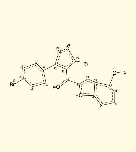 COc1cccc2oc(C(=O)c3c(-c4ccc(Br)cc4)noc3C)cc12